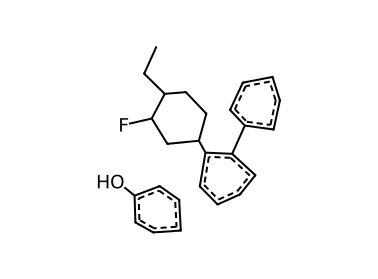 CCC1CCC(c2ccccc2-c2ccccc2)CC1F.Oc1ccccc1